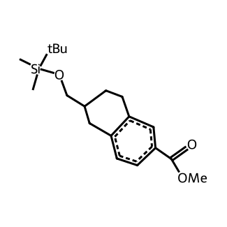 COC(=O)c1ccc2c(c1)CCC(CO[Si](C)(C)C(C)(C)C)C2